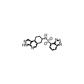 O=S(=O)(NC1CCc2c(cnc3[nH]ncc23)C1)c1cccc2nsnc12